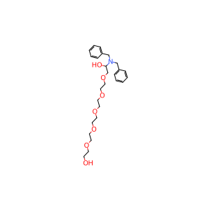 OCCOCCOCCOCCOCCOCC(O)N(Cc1ccccc1)Cc1ccccc1